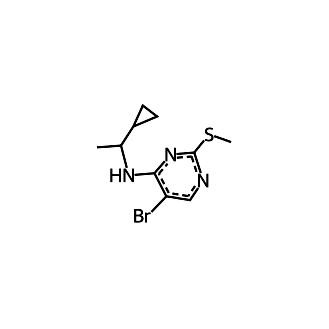 CSc1ncc(Br)c(NC(C)C2CC2)n1